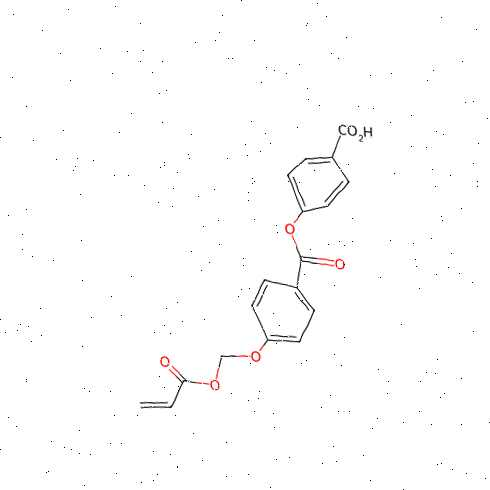 C=CC(=O)OCOc1ccc(C(=O)Oc2ccc(C(=O)O)cc2)cc1